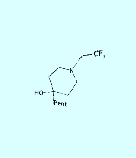 CCCC(C)C1(O)CCN(CC(F)(F)F)CC1